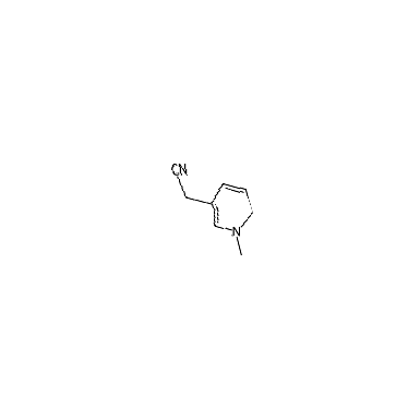 CN1C=C(CC#N)C=CC1